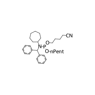 CCCCCOP(OCCCCC#N)N(C1CCCCCC1)C(c1ccccc1)c1ccccc1